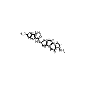 Cc1nc2sc(C(=O)NC3CCc4nc(N5CCC(N)C5C(F)F)ccc4C3)c(N)c2s1